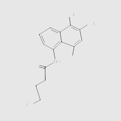 CCCCC(=O)Nc1cccc2c(O)c(C)cc(C)c12